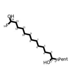 CCCCCC(O)CCCCCCCCCCCC(O)F